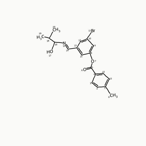 Cc1ccc(C(=O)Oc2cc(Br)cc(/C=N/C(O)C(C)C)c2)cc1